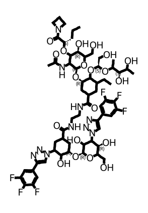 CCC[C@H](OC1C(NC(C)=O)[C@H](O[C@@H]2CC(C(=O)NCCNC(=O)C3CC(n4cc(-c5cc(F)c(F)c(F)c5)nn4)C(O)[C@H](O[C@@H]4OC(CO)[C@H](O)C(n5cc(-c6cc(F)c(F)c(F)c6)nn5)C4O)C3)CC(CC)C2O[C@@H](CO)OC(C)[C@@H](O)C(C)O)OC(CO)[C@@H]1O)C(=O)N1CCC1